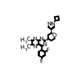 Cc1nc2nc([C@@H]3CCO[C@H](c4cnn(C5CCC5)c4)C3)nc(-c3ccc(F)cc3F)c2nc1C